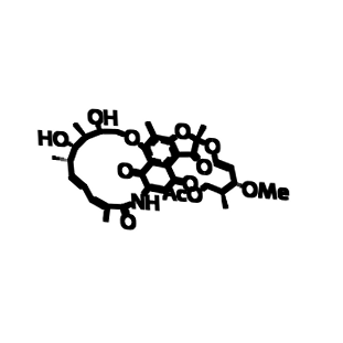 CO[C@@H](/C=C/O[C@@]1(C)Oc2c(C)c3c4c(c2C1=O)C(=O)C=C(NC(=O)/C(C)=C\C=C\[C@H](C)[C@H](O)[C@@H](C)[C@@H](O)CO3)C4=O)[C@@H](C)COC(C)=O